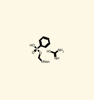 CCCCCCCCCCOP(=O)(O)c1ccccc1.N=C(N)S